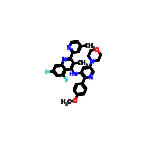 COc1ccc(-c2ncc(N3CCOCC3)cc2Nc2c(C)c(-c3cc(C)ccn3)nc3cc(F)cc(F)c23)cc1